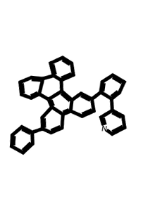 c1ccc(-c2ccc3c4ccc(-c5ccccc5-c5cccnc5)cc4c4c5ccccc5c5ccccc5c4c3c2)cc1